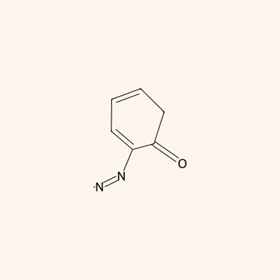 [N]=NC1=CC=CCC1=O